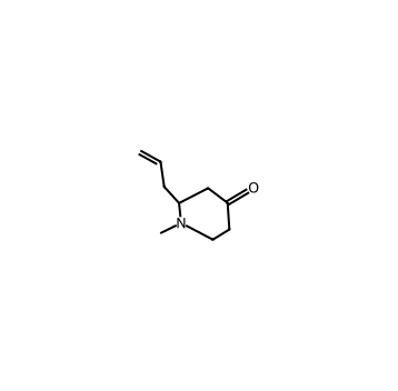 C=CCC1CC(=O)CCN1C